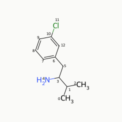 CC(C)C(N)Cc1cccc(Cl)c1